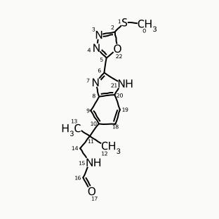 CSc1nnc(-c2nc3cc(C(C)(C)CNC=O)ccc3[nH]2)o1